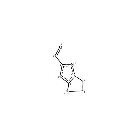 O=Cc1cc2n(n1)CCS2